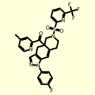 Cc1ccnc(C(=O)C23Cc4cnn(-c5ccc(F)cc5)c4C=C2CCN(S(=O)(=O)c2cccc(C(F)(F)F)n2)C3)c1